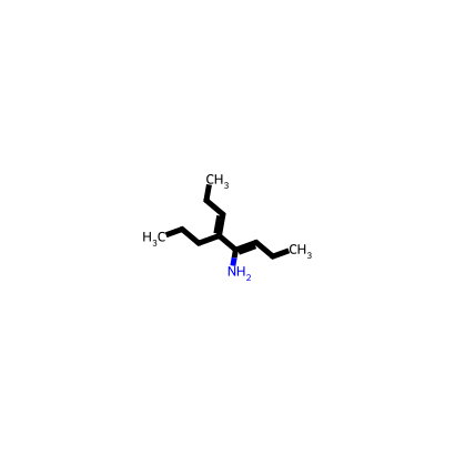 CCC=C(N)C(=CCC)CCC